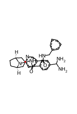 NC(N)c1ccc(C(=O)N[C@H]2C[C@H]3CC[C@@H](C2)N3c2ccc(C(=O)NCc3ccccc3)cn2)cc1